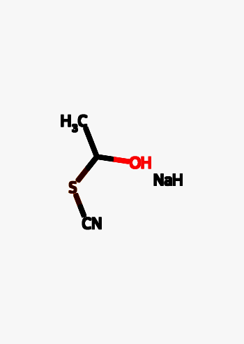 CC(O)SC#N.[NaH]